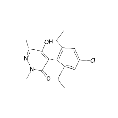 CCc1cc(Cl)cc(CC)c1-c1c(O)c(C)nn(C)c1=O